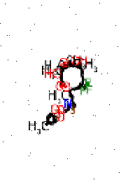 C/C(=C\c1csc(COS(=O)(=O)c2ccc(C)cc2)n1)C1C/C=C(/C(F)(F)F)C/C=C/C(C)C(O)C(C)C(=O)C(C)(C)C(O)CC(=O)O1